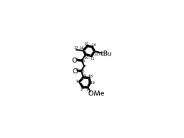 COc1ccc(C(=O)CC(=O)c2cc(C(C)(C)C)ccc2C)cc1